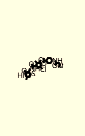 CSc1cc(C)[nH]c(=O)c1CNC(=O)c1cc(Cl)c2c(c1C)OC(C)(C1CCC(NC(=O)C[Si](C)(C)C)CC1)O2